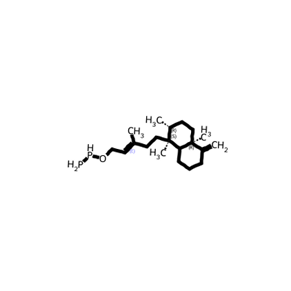 C=C1CCCC2[C@@]1(C)CC[C@@H](C)[C@]2(C)CC/C(C)=C/COPP